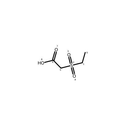 CCS(=O)(=O)[CH]C(=O)O